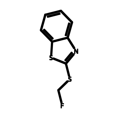 FCSc1nc2ccccc2s1